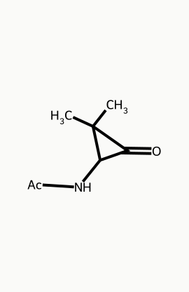 CC(=O)NC1C(=O)C1(C)C